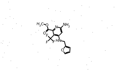 COC(=O)c1nc(N)cc(NCc2ccco2)c1C(F)(F)F